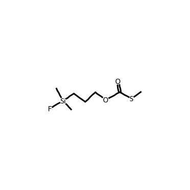 CSC(=O)OCCC[Si](C)(C)F